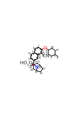 CC1CCC(Oc2ccc3ccc(C(C)N4C5CCC4CC(C(=O)O)C5)cc3c2C#N)CC1